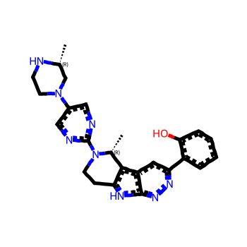 C[C@@H]1CN(c2cnc(N3CCc4[nH]c5nnc(-c6ccccc6O)cc5c4[C@H]3C)nc2)CCN1